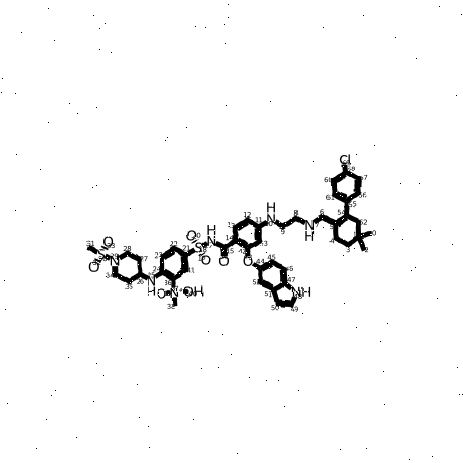 CC1(C)CCC(CNCCNc2ccc(C(=O)NS(=O)(=O)c3ccc(NC4CCN(S(C)(=O)=O)CC4)c([N+](C)([O-])O)c3)c(Oc3ccc4[nH]ccc4c3)c2)=C(c2ccc(Cl)cc2)C1